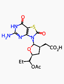 CCC(OC(C)=O)[C@@H]1C[C@H](CC(=O)O)[C@H](n2c(=O)sc3c(=O)[nH]c(N)nc32)O1